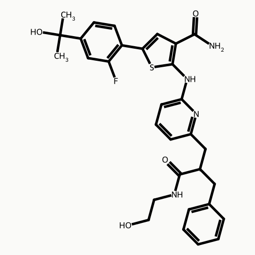 CC(C)(O)c1ccc(-c2cc(C(N)=O)c(Nc3cccc(C[C](Cc4ccccc4)C(=O)NCCO)n3)s2)c(F)c1